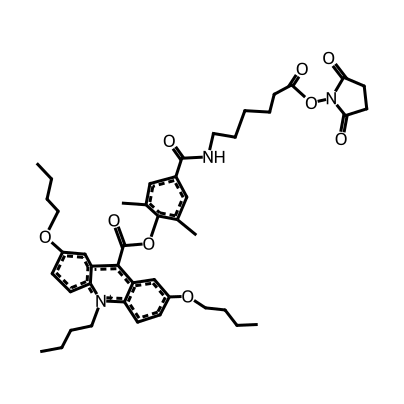 CCCCOc1ccc2c(c1)c(C(=O)Oc1c(C)cc(C(=O)NCCCCCC(=O)ON3C(=O)CCC3=O)cc1C)c1cc(OCCCC)ccc1[n+]2CCCC